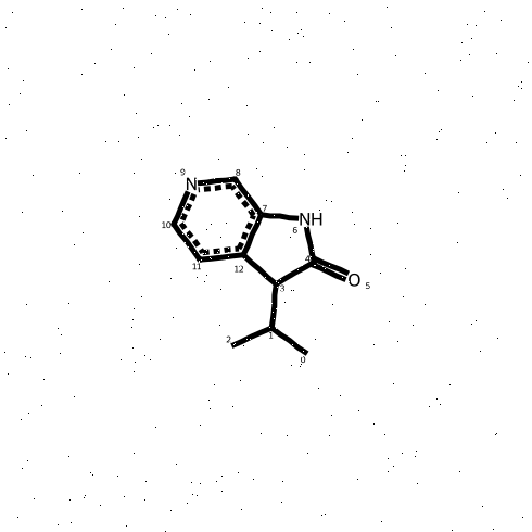 CC(C)C1C(=O)Nc2cnccc21